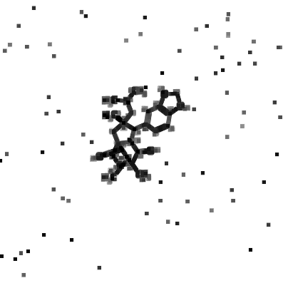 CN(C)C[C@@]1(C)CC23SSC(C)(C(=O)N2C1c1ccc2c(c1)OCO2)N(C)C3=O